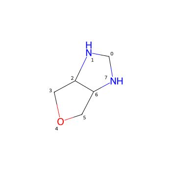 C1NC2COCC2N1